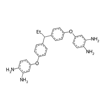 CCC(c1ccc(Oc2ccc(N)c(N)c2)cc1)c1ccc(Oc2ccc(N)c(N)c2)cc1